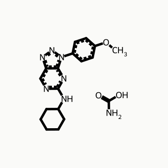 COc1ccc(-n2nnc3cnc(NC4CCCCC4)nc32)cc1.NC(=O)O